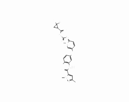 Cc1cc(C(=O)Nc2cc(Oc3ccc4nc(NC(=O)C5CC5(F)F)nn4c3)ccc2F)n(C)n1